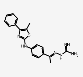 CC(=NNC(=N)N)c1ccc(Nc2nc(-c3ccccc3)c(C)s2)cc1